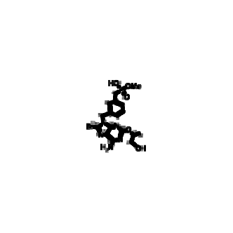 COP(=O)(O)Cc1cccc(Cn2c(Br)nc3c(N)nc(OC(C)CO)nc32)c1